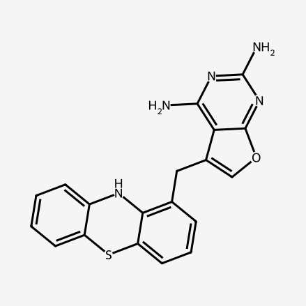 Nc1nc(N)c2c(Cc3cccc4c3Nc3ccccc3S4)coc2n1